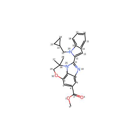 COC(=O)c1cc2c3c(c1)nc(-c1cc4ccccc4n1CC1CC1)n3C(C)(C)CO2